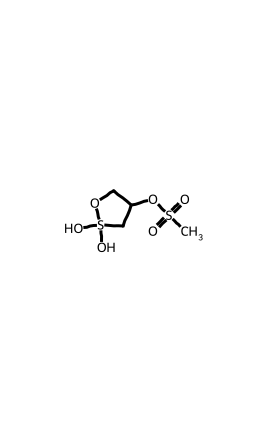 CS(=O)(=O)OC1COS(O)(O)C1